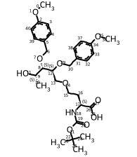 COc1ccc(CO[C@@H]([C@H](C)O)[C@H](COCC[C@H](NC(=O)OC(C)(C)C)C(=O)O)OCc2ccc(OC)cc2)cc1